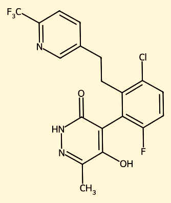 Cc1n[nH]c(=O)c(-c2c(F)ccc(Cl)c2CCc2ccc(C(F)(F)F)nc2)c1O